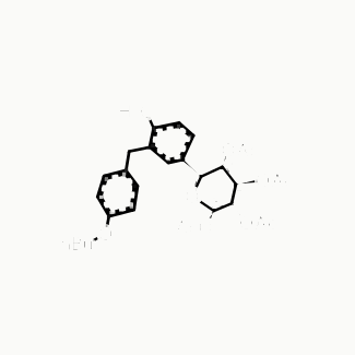 CCCCOc1ccc(Cc2cc([C@@H]3O[C@H](OC(C)=O)[C@@H](OC(C)=O)[C@H](OC(C)=O)[C@H]3OC(C)=O)ccc2C)cc1